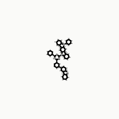 c1ccc(-c2nc(-c3cccc(-c4ccc5sc6ccccc6c5c4)c3)nc(-n3c4ccccc4c4cc5c(cc43)c3ccccc3n5-c3ccccc3)n2)cc1